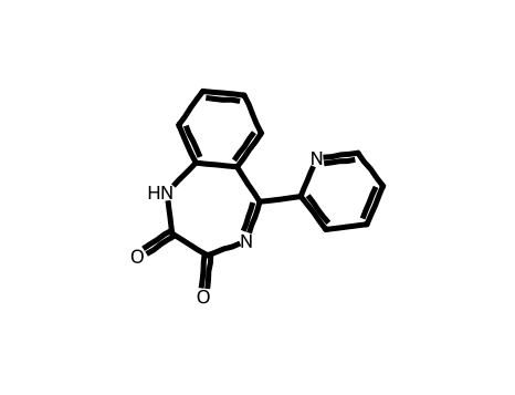 O=c1nc(-c2ccccn2)c2ccccc2[nH]c1=O